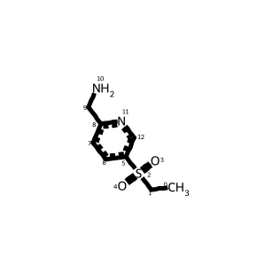 CCS(=O)(=O)c1ccc(CN)nc1